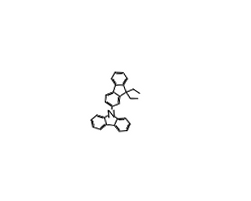 CCC1(CC)c2ccccc2-c2ccc(-n3c4ccccc4c4ccccc43)cc21